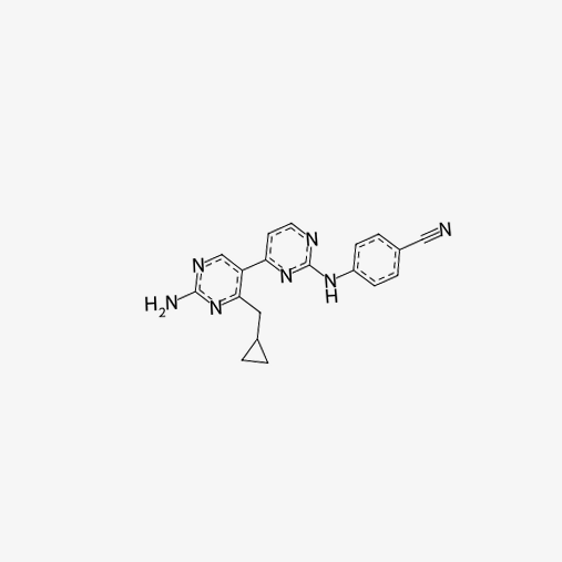 N#Cc1ccc(Nc2nccc(-c3cnc(N)nc3CC3CC3)n2)cc1